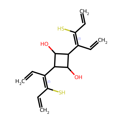 C=C/C(S)=C(\C=C)C1C(O)C(/C(C=C)=C(\S)C=C)C1O